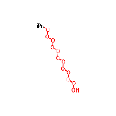 CC(C)OOOOOOOOOOOO